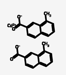 Cc1cccc2ccc(C(=O)[O-])cc12.Cc1cccc2ccc(C(=O)[O-])cc12.[Cd+2]